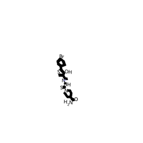 C/C(=N\NC(=S)N1CCC(C(N)=O)CC1)c1csc(-c2ccc(Br)cc2)c1O